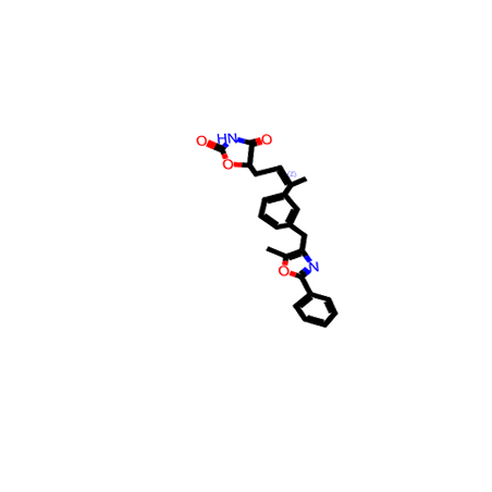 C/C(=C/CC1OC(=O)NC1=O)c1cccc(Cc2nc(-c3ccccc3)oc2C)c1